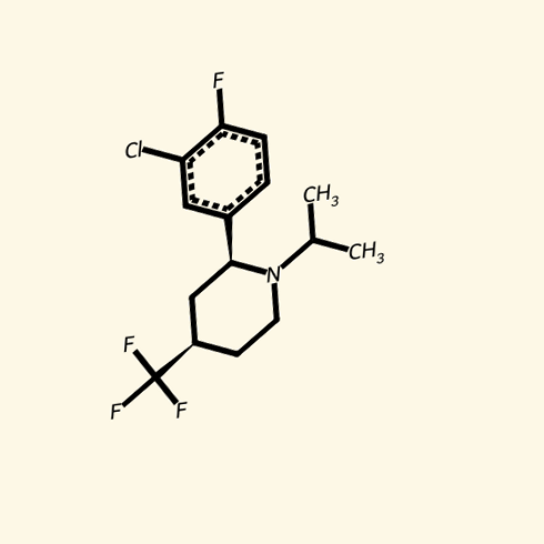 CC(C)N1CC[C@@H](C(F)(F)F)C[C@H]1c1ccc(F)c(Cl)c1